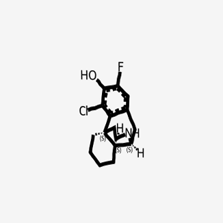 Oc1c(F)cc2c(c1Cl)[C@]13CCCC[C@@H]1[C@H](C2)NCC3